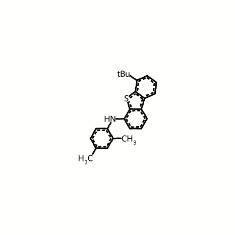 Cc1ccc(Nc2cccc3c2sc2c(C(C)(C)C)cccc23)c(C)c1